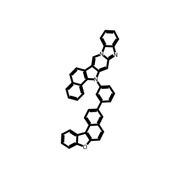 c1cc(-c2ccc3c(ccc4oc5ccccc5c43)c2)cc(-n2c3cc4nc5ccccc5n4cc3c3ccc4ccccc4c32)c1